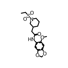 CCS(=O)(=O)N1CCCC(CC(=O)Nc2cc3c(cc2OC)OCO3)C1